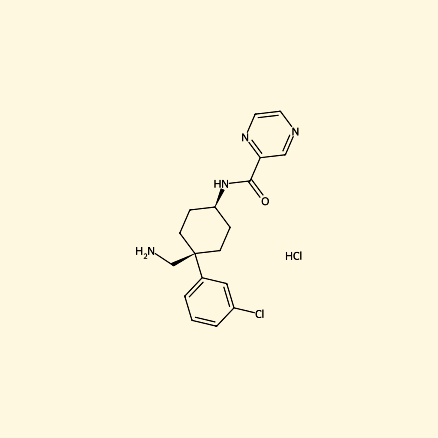 Cl.NC[C@]1(c2cccc(Cl)c2)CC[C@H](NC(=O)c2cnccn2)CC1